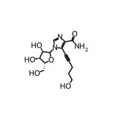 NC(=O)c1ncn(C2O[C@H](CO)[C@@H](O)[C@H]2O)c1C#CCCCO